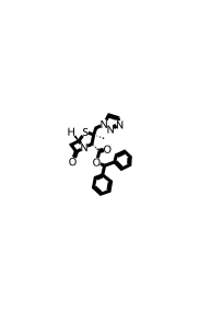 C[C@@]1(Cn2ccnn2)S[C@H]2CC(=O)N2[C@H]1C(=O)OC(c1ccccc1)c1ccccc1